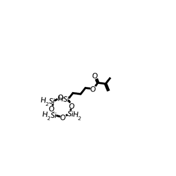 C=C(C)C(=O)OCCC[SiH]1O[SiH2]O[SiH2]O[SiH2]O1